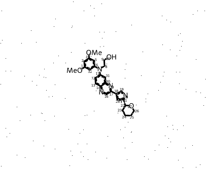 COc1cc(OC)cc(N(CCO)c2ccc3ncc(-c4cnn(C5CCCCO5)c4)nc3c2)c1